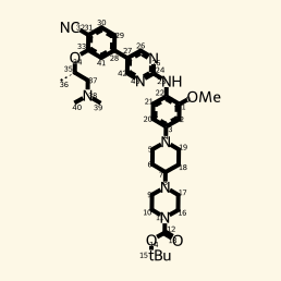 COc1cc(N2CCC(N3CCN(C(=O)OC(C)(C)C)CC3)CC2)ccc1Nc1ncc(-c2ccc(C#N)c(O[C@@H](C)CN(C)C)c2)cn1